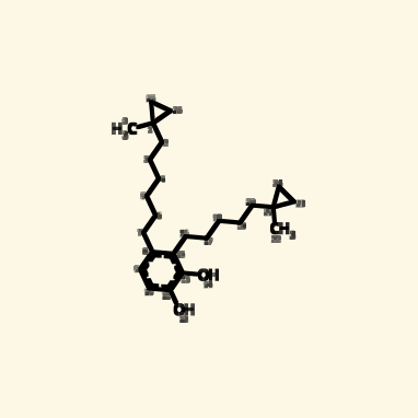 CC1(CCCCCCc2ccc(O)c(O)c2CCCCCC2(C)CC2)CC1